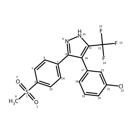 CS(=O)(=O)c1ccc(-c2n[nH]c(C(F)(F)F)c2-c2cccc(Cl)c2)cc1